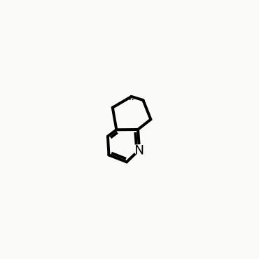 [C]1CCc2ncccc2C1